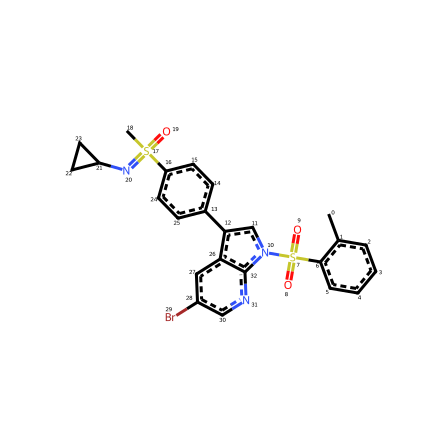 Cc1ccccc1S(=O)(=O)n1cc(-c2ccc(S(C)(=O)=NC3CC3)cc2)c2cc(Br)cnc21